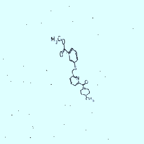 COC(=O)c1cccc(SCc2cccc(C(=O)N3CCC(C)CC3)n2)c1